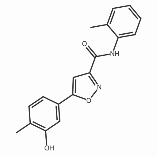 Cc1ccc(-c2cc(C(=O)Nc3ccccc3C)no2)cc1O